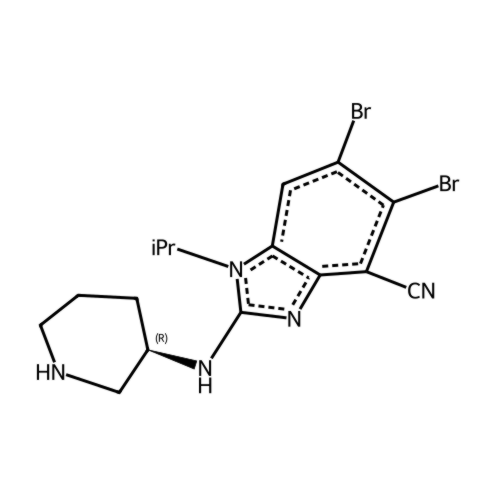 CC(C)n1c(N[C@@H]2CCCNC2)nc2c(C#N)c(Br)c(Br)cc21